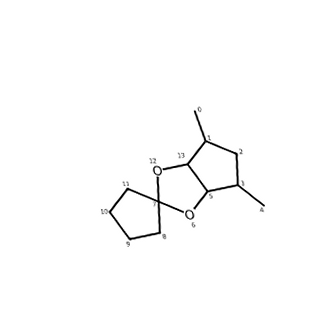 CC1CC(C)C2OC3(CCCC3)OC12